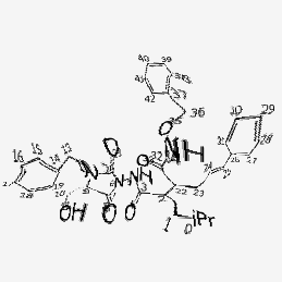 CC(C)C[C@@H](C(=O)NN1C(=O)[C@H](CO)N(Cc2ccccc2)C1=O)[C@H](CC=Cc1ccccc1)C(=O)NOCc1ccccc1